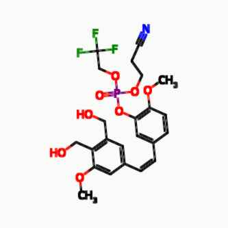 COc1ccc(/C=C\c2cc(CO)c(CO)c(OC)c2)cc1OP(=O)(OCCC#N)OCC(F)(F)F